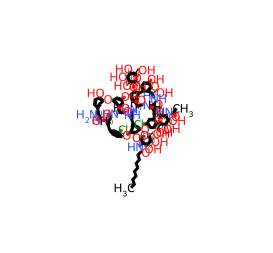 CCCCCCCCCC(=O)N[C@H]1[C@H](Oc2c3cc4cc2Oc2ccc(cc2Cl)[C@@H](O[C@@H]2O[C@H](CO)[C@@H](O)[C@H](O)[C@H]2NC(C)=O)[C@@H]2NC(=O)[C@H](NC(=O)C4NC(=O)[C@H]4NC(=O)[C@H](Cc5ccc(c(Cl)c5)O3)NC(=O)[C@H](N)c3ccc(O)c(c3)Oc3cc(O)cc4c3)c3ccc(O)c(c3)-c3c(O[C@H]4O[C@H](CO)[C@@H](O)[C@H](O)[C@@H]4O)cc(O)cc3[C@H](C(=O)O)NC2=O)O[C@H](CO)[C@@H](O)[C@@H]1O